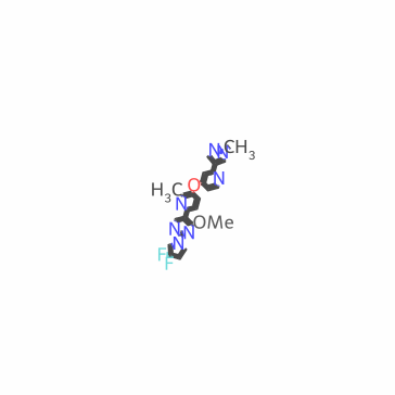 COc1nc(N2CCC(F)(F)C2)ncc1-c1ccc(Oc2ccnc(-c3cnn(C)c3)c2)c(C)n1